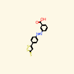 O=C(O)c1cccc(N=Nc2ccc(-c3cc(=S)ss3)cc2)c1